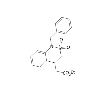 CCOC(=O)CC1CS(=O)(=O)N(Cc2ccccc2)c2ccccc21